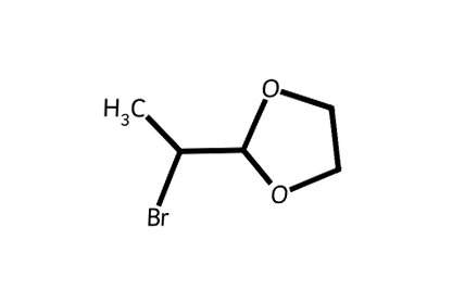 CC(Br)C1OCCO1